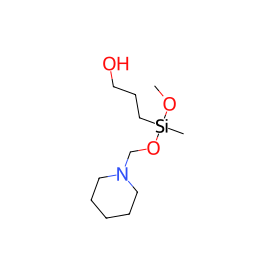 CO[Si](C)(CCCO)OCN1CCCCC1